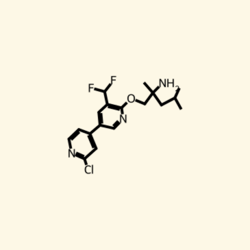 CC(C)CC(C)(N)COc1ncc(-c2ccnc(Cl)c2)cc1C(F)F